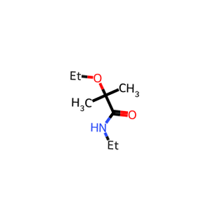 CCNC(=O)C(C)(C)OCC